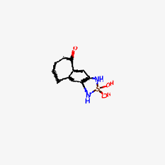 O=C1[CH]CCCc2cc3c(cc21)NS(O)(O)N3